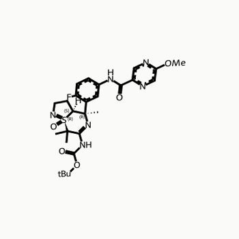 COc1cnc(C(=O)Nc2ccc(F)c([C@@]3(C)N=C(NC(=O)OC(C)(C)C)C(C)(C)[S@@]4(=O)=NCC[C@@H]34)c2)cn1